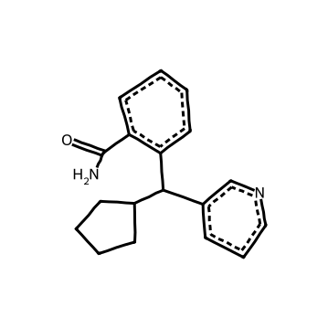 NC(=O)c1ccccc1C(c1cccnc1)C1CCCC1